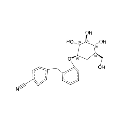 N#Cc1ccc(Cc2ccccc2O[C@@H]2C[C@H](CO)[C@@H](O)[C@H](O)[C@H]2O)cc1